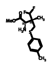 COC(=O)[C@@H](N)[C@@](C)(CSc1ccc(C)cc1)C(F)F